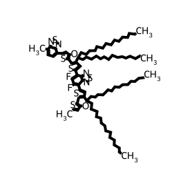 CCCCCCCCCCCCCCCC1(CCCCCCCCCCCCCCC)Oc2cc(C)sc2-c2sc(-c3c(F)c(F)c(-c4cc5c(s4)-c4sc(-c6ccc(C)c7nsnc67)cc4OC5(CCCCCCCCCCCCCCC)CCCCCCCCCCCCCCC)c4nsnc34)cc21